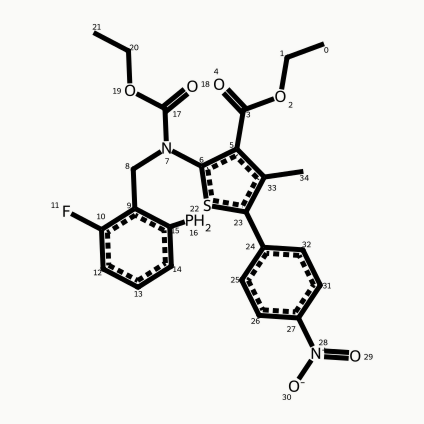 CCOC(=O)c1c(N(Cc2c(F)cccc2P)C(=O)OCC)sc(-c2ccc([N+](=O)[O-])cc2)c1C